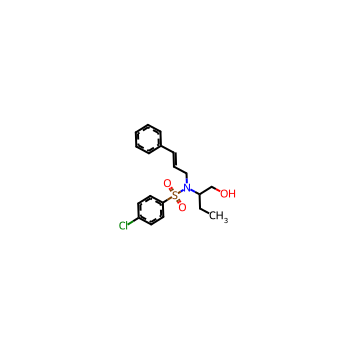 CCC(CO)N(C/C=C/c1ccccc1)S(=O)(=O)c1ccc(Cl)cc1